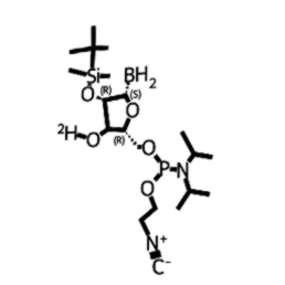 [2H]OC1[C@@H](COP(OCC[N+]#[C-])N(C(C)C)C(C)C)O[C@@H](B)[C@H]1O[Si](C)(C)C(C)(C)C